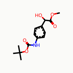 COC(=O)C(O)c1ccc(NC(=O)OC(C)(C)C)cc1